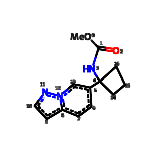 COC(=O)NC1(c2ccc3ccnn3c2)CCC1